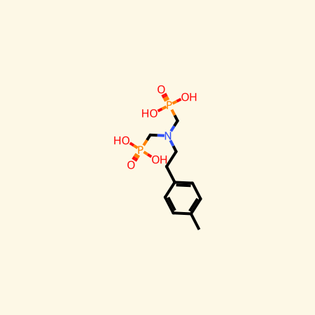 Cc1ccc(CCN(CP(=O)(O)O)CP(=O)(O)O)cc1